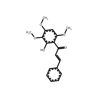 COc1cc(OC)c(C(=O)C=Cc2ccccc2)c(O)c1OC